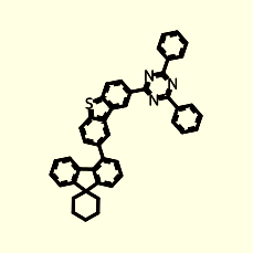 c1ccc(-c2nc(-c3ccccc3)nc(-c3ccc4sc5ccc(-c6cccc7c6-c6ccccc6C76CCCCC6)cc5c4c3)n2)cc1